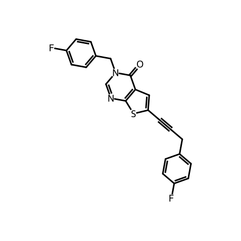 O=c1c2cc(C#CCc3ccc(F)cc3)sc2ncn1Cc1ccc(F)cc1